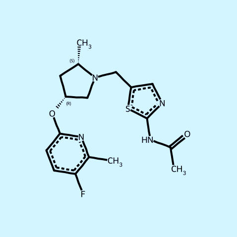 CC(=O)Nc1ncc(CN2C[C@H](Oc3ccc(F)c(C)n3)C[C@@H]2C)s1